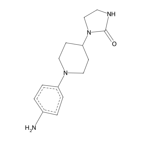 Nc1ccc(N2CCC(N3CCNC3=O)CC2)cc1